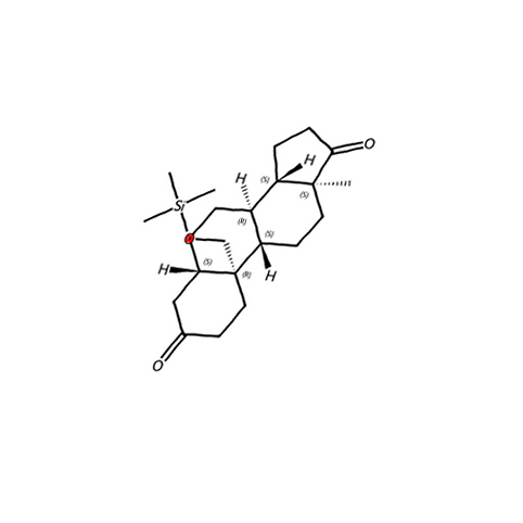 C[C@]12CC[C@H]3[C@@H](CC[C@H]4CC(=O)CC[C@@]43CO[Si](C)(C)C)[C@@H]1CCC2=O